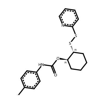 [CH2]c1ccc(NC(=O)O[C@@H]2CCCC[C@H]2SSc2ccccn2)cc1